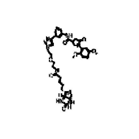 COc1ccc(OC)c(N2CC(C(=O)Nc3cccc(-c4cn(CCOCCNC(=O)CCCC[C@@H]5SC[C@@H]6NC(=O)N[C@@H]65)nn4)c3)CC2=O)c1